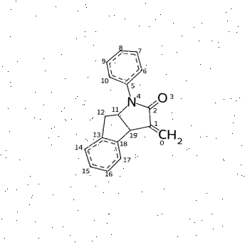 C=C1C(=O)N(c2ccccc2)C2Cc3ccccc3C12